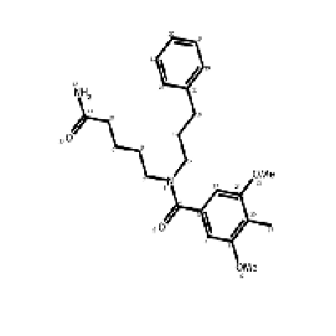 COc1cc(C(=O)N(CCCCC(N)=O)CCCc2ccccc2)cc(OC)c1C